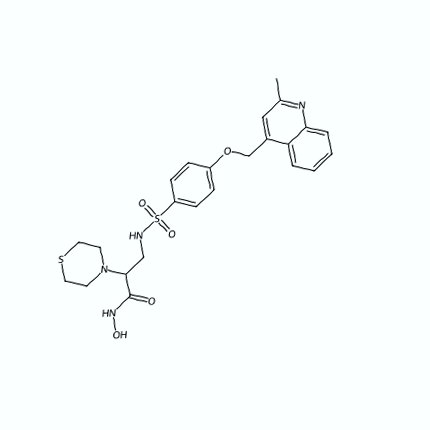 Cc1cc(COc2ccc(S(=O)(=O)NCC(C(=O)NO)N3CCSCC3)cc2)c2ccccc2n1